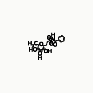 CC1OC(CCS(=O)(=O)NC(=O)c2ccccc2)[C@@H](O)[C@H](O)[C@@H]1O